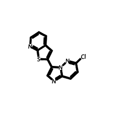 Clc1ccc2ncc(-c3cc4cccnc4s3)n2n1